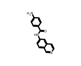 Nc1ccc(C(=O)Nc2ccc3cnccc3c2)cc1